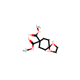 COC(=O)C1(C(=O)OC)CCC2(CC1)OCCO2